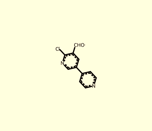 O=[C]c1cc(-c2ccncc2)cnc1Cl